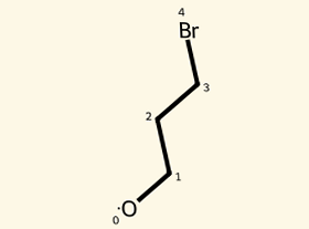 [O]CCCBr